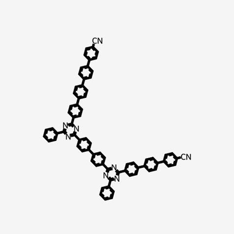 N#Cc1ccc(-c2ccc(-c3ccc(-c4ccc(-c5nc(-c6ccccc6)nc(-c6ccc(-c7ccc(-c8nc(-c9ccccc9)nc(-c9ccc(-c%10ccc(-c%11ccc(C#N)cc%11)cc%10)cc9)n8)cc7)cc6)n5)cc4)cc3)cc2)cc1